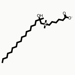 CCCCCCCCCCCCCCCCC(C)(O)C[N+](C)(C)CCCCCC(=O)[O-]